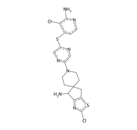 Nc1nccc(Sc2cnc(N3CCC4(CC3)Cc3sc(Cl)nc3C4N)cn2)c1Cl